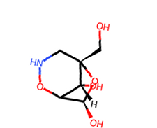 OC[C@@]12CNOC([C@H](O)O1)[C@H]2O